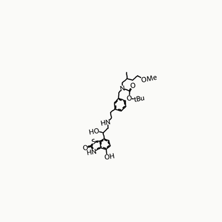 COCCC(C)CN(Cc1cccc(CCNCC(O)c2ccc(O)c3[nH]c(=O)sc23)c1)C(=O)OC(C)(C)C